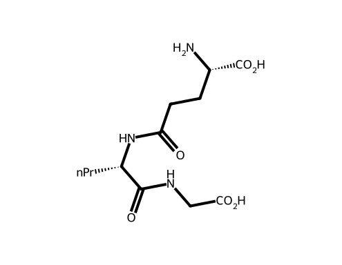 CCC[C@H](NC(=O)CC[C@H](N)C(=O)O)C(=O)NCC(=O)O